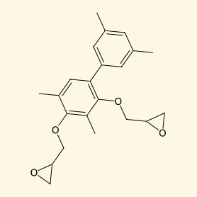 Cc1cc(C)cc(-c2cc(C)c(OCC3CO3)c(C)c2OCC2CO2)c1